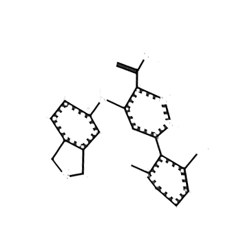 NC(=O)c1nnc(-c2c(F)cccc2F)cc1Nc1ccc2c(c1)CNC2